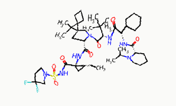 CC[C@@H]1C[C@]1(NC(=O)[C@@H]1C[C@@]2(CN1C(=O)[C@@H](NC(=O)[C@@H](NC(=O)[C@@H]1CCCCN1C(C)C)C1CCCCC1)C(C)(C)C)C(C)(C)C21CCC1)C(=O)NS(=O)(=O)N1CCC(F)(F)C1